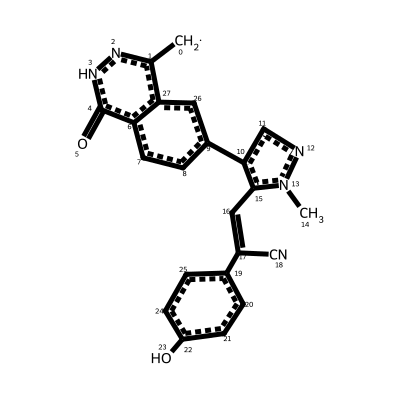 [CH2]c1n[nH]c(=O)c2ccc(-c3cnn(C)c3C=C(C#N)c3ccc(O)cc3)cc12